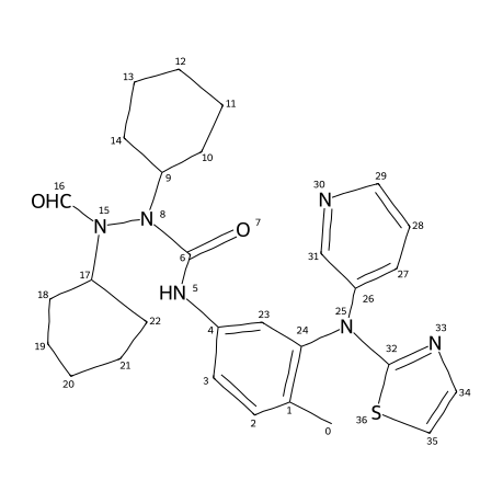 Cc1ccc(NC(=O)N(C2CCCCC2)N(C=O)C2CCCCC2)cc1N(c1cccnc1)c1nccs1